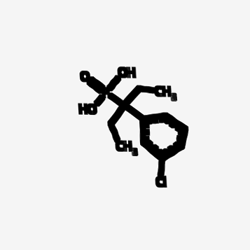 CCC(CC)(c1cccc(Cl)c1)P(=O)(O)O